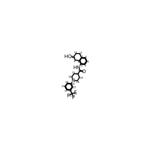 O=C(Nc1cccc2c1C[C@H](O)CC2)C1CCN(c2cccc(C(F)(F)F)c2)CC1